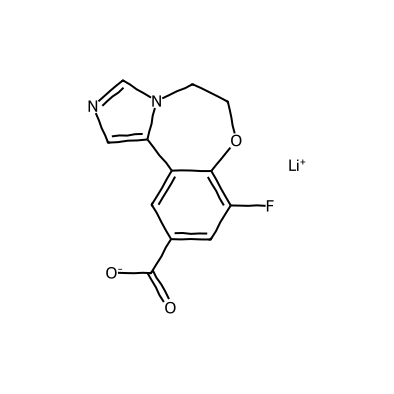 O=C([O-])c1cc(F)c2c(c1)-c1cncn1CCO2.[Li+]